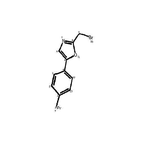 CCCc1ccc(-c2cnc(CBr)o2)cc1